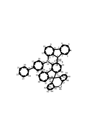 CC12c3ccccc3-c3cccc(c31)N(c1ccc(-c3ccccc3)cc1)c1c2ccc2c1-c1ccccc1C21c2ccccc2Oc2ccccc21